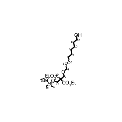 CCOC(=O)C(COCSSCCCCCCO)(CO[Si](C)(C)C(C)(C)C)C(=O)OCC